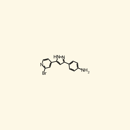 Nc1ccc(-c2cc(-c3ccnc(Br)c3)[nH]n2)cc1